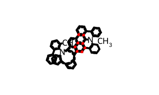 Cc1cccc(-c2ccccc2)c1-n1c2ccccc2c2cccc(c2)c2cc1c1ccc3ccc(N(C4=C(c5ccccc5)C=CCC4C)c4ccccc4-c4ccccc4)c4ccc2c1c34